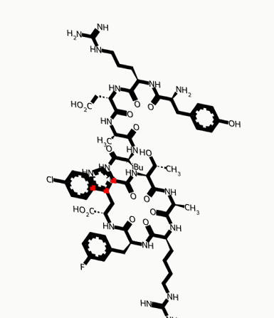 CC[C@H](C)[C@H](NC(=O)[C@H](C)NC(=O)[C@H](CC(=O)O)NC(=O)[C@@H](CCCNC(=N)N)NC(=O)[C@@H](N)Cc1ccc(O)cc1)C(=O)N[C@@H](Cc1ccc(Cl)cc1)C(=O)N[C@H](C(=O)N[C@@H](C)C(=O)N[C@@H](CCCCNC(=N)N)C(=O)N[C@@H](Cc1cccc(F)c1)C(=O)N[C@@H](Cc1c[nH]cn1)C(=O)O)[C@@H](C)O